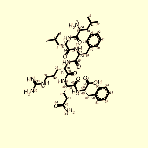 CC(C)C[C@H](NC(=O)[C@@H](N)CC(C)C)C(=O)N[C@@H](Cc1ccccc1)C(=O)N[C@@H](CCCNC(=N)N)C(=O)N[C@@H](CCC(N)=O)C(=O)N[C@@H](Cc1ccccc1)C(=O)O